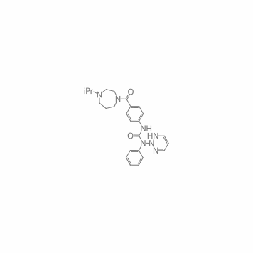 CC(C)N1CCCN(C(=O)c2ccc(NC(=O)N(c3ccccc3)N3N=CC=CN3)cc2)CC1